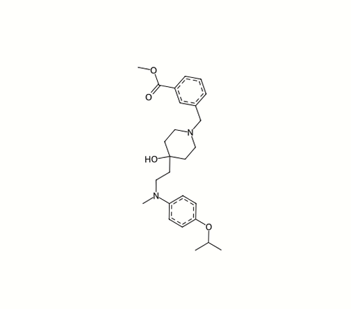 COC(=O)c1cccc(CN2CCC(O)(CCN(C)c3ccc(OC(C)C)cc3)CC2)c1